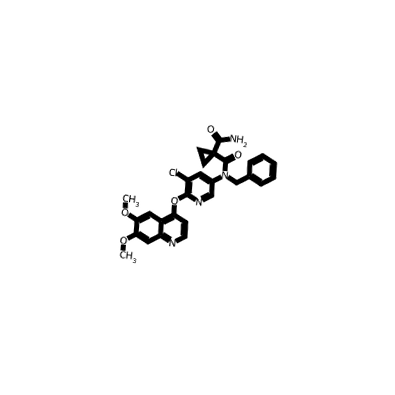 COc1cc2nccc(Oc3ncc(N(Cc4ccccc4)C(=O)C4(C(N)=O)CC4)cc3Cl)c2cc1OC